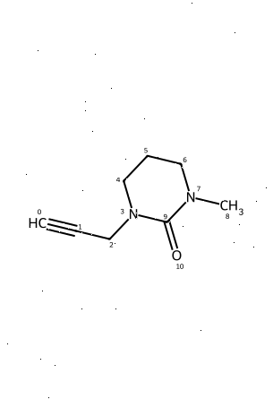 C#CCN1CCCN(C)C1=O